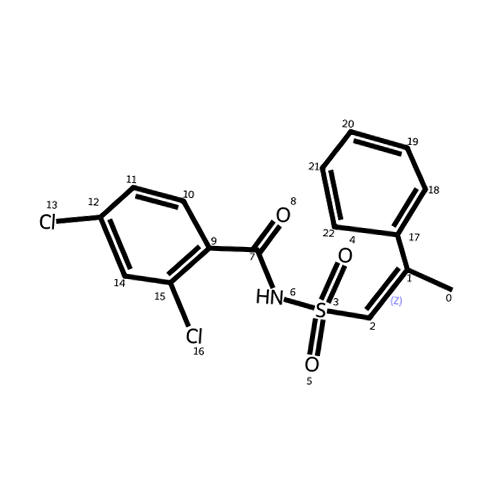 C/C(=C/S(=O)(=O)NC(=O)c1ccc(Cl)cc1Cl)c1ccccc1